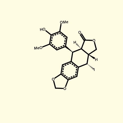 COc1cc([C@@H]2c3cc4c(cc3[C@@H](I)[C@H]3COC(=O)[C@H]23)OCO4)cc(OC)c1O